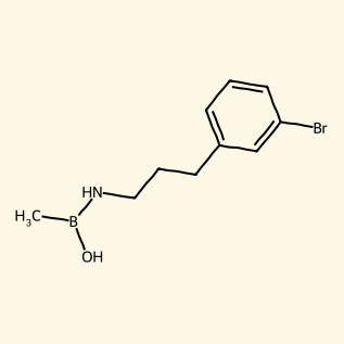 CB(O)NCCCc1cccc(Br)c1